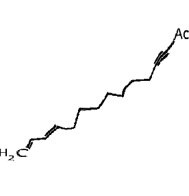 C=CC=CCCCCCCCC#CC(C)=O